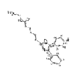 CCOC(=O)CCCCCc1nc(-c2ccccc2)c(-c2ccc(F)cc2)o1